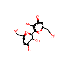 O=c1cc(CO)oc(-c2oc(CO)cc(=O)c2O)c1O